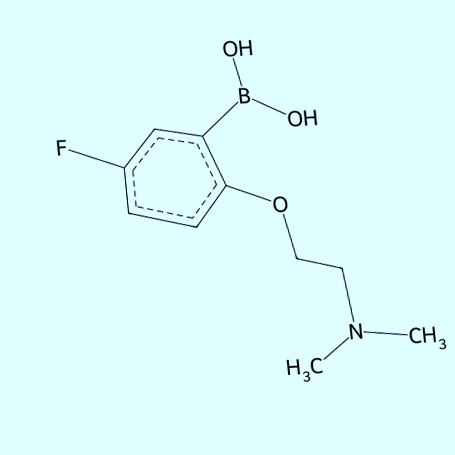 CN(C)CCOc1ccc(F)cc1B(O)O